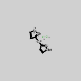 [CH]1=C[C]([Zr+2][C]2=[Sb][SbH][CH]=C2)=[Sb][SbH]1.[Cl-].[Cl-]